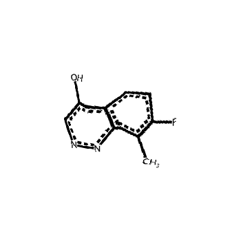 Cc1c(F)ccc2c(O)cnnc12